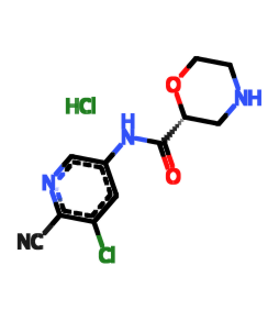 Cl.N#Cc1ncc(NC(=O)[C@H]2CNCCO2)cc1Cl